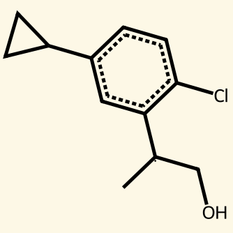 C[C](CO)c1cc(C2CC2)ccc1Cl